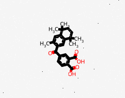 Cc1cc2c(cc1C(=O)c1ccc(C(=O)O)c(C(=O)O)c1)C(C)(C)CCC2(C)C